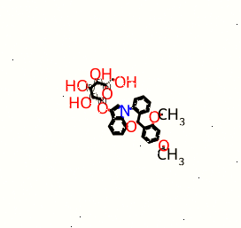 COc1ccc(C(=O)c2ccccc2-n2cc(O[C@H]3O[C@@H](CO)[C@@H](O)[C@@H](O)[C@@H]3O)c3ccccc32)c(OC)c1